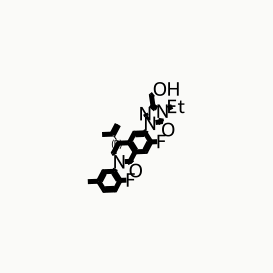 C=C(C)[C@H]1CN(c2cc(C)ccc2F)C(=O)c2cc(F)c(-n3nc(CO)n(CC)c3=O)cc21